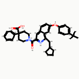 CC(C)(C)c1ccc(Oc2ccc3cc(C(=O)N4CCC(C(=O)O)(c5ccccc5)CC4)nc(CC4CCCC4)c3c2)cc1